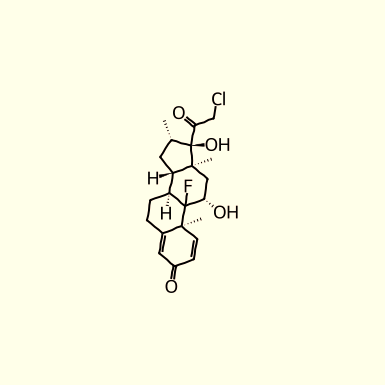 C[C@H]1C[C@H]2[C@@H]3CCC4=CC(=O)C=C[C@]4(C)C3(F)[C@@H](O)C[C@]2(C)[C@@]1(O)C(=O)CCl